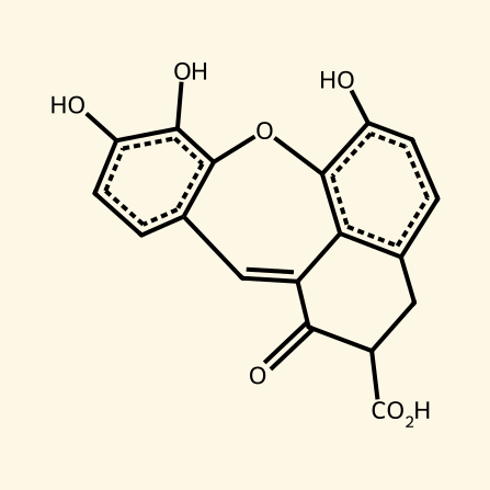 O=C(O)C1Cc2ccc(O)c3c2C(=Cc2ccc(O)c(O)c2O3)C1=O